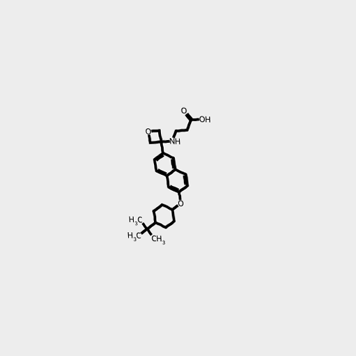 CC(C)(C)C1CCC(Oc2ccc3cc(C4(NCCC(=O)O)COC4)ccc3c2)CC1